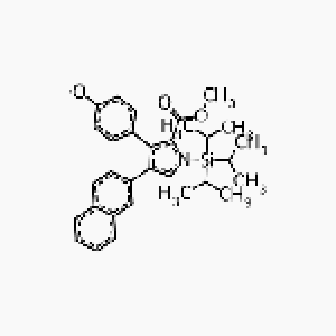 COC(=O)c1c(-c2ccc([O])cc2)c(-c2ccc3ccccc3c2)cn1[Si](C(C)C)(C(C)C)C(C)C